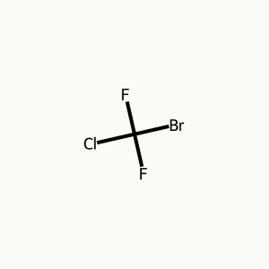 FC(F)(Cl)Br